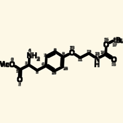 COC(=O)C(N)Cc1ccc(OCCNC(=O)OC(C)(C)C)cc1